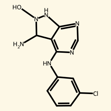 NC1c2c(Nc3cccc(Cl)c3)ncnc2NN1O